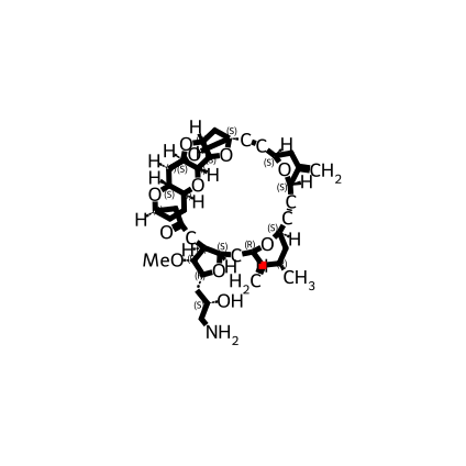 C=C1C[C@@H]2CC[C@@]34C[C@H]5O[C@@H]6[C@@H](O3)[C@H]3O[C@H](CC[C@@H]3O[C@H]6[C@H]5O4)CC(=O)C[C@@H]3[C@@H](OC)[C@@H](C[C@H](O)CN)O[C@H]3C[C@H]3O[C@@H](CC[C@@H]1O2)C[C@@H](C)C3=C